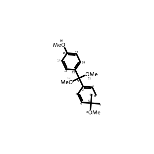 C/C=C(\C=C/C(C)(C)OC)C(OC)(OC)c1ccc(OC)cc1